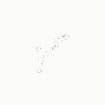 Cc1ccccc1C=CC(=O)Nc1ccc(C(=O)NS(=O)(=O)c2ccc(N(Cc3ccccc3)C(=O)NO)c([N+](=O)[O-])c2)c(Oc2ccccc2)c1